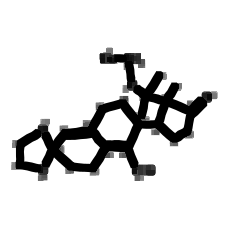 CC(C)(C)[SiH2]OC(C)(C)C1(C)C(=O)CCC1C1CCC2=CC3(CCC2=C1C=O)OCCO3